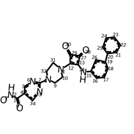 O=C(NO)c1cnc(N2CCN(c3c(Nc4cccc(-c5ccccc5)c4)c(=O)c3=O)CC2)nc1